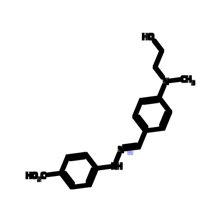 CN(CCO)c1ccc(/C=N/Nc2ccc(C(=O)O)cc2)cc1